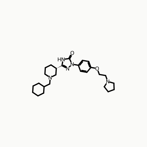 O=c1[nH]c([C@H]2CCCN(CC3CCCCC3)C2)nn1-c1ccc(OCCN2CCCC2)cc1